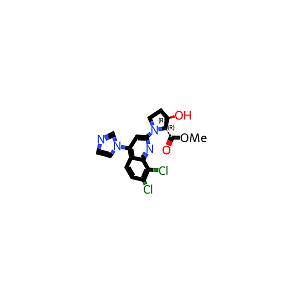 COC(=O)[C@H]1[C@H](O)CCN1c1cc(-n2ccnc2)c2ccc(Cl)c(Cl)c2n1